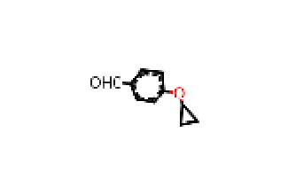 O=Cc1ccc(OC2CC2)cc1